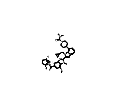 COc1cc(C(=O)N2C[C@H]3CC[C@@H]2[C@@H]3N)cc2nc(-c3cc4cccc(C5CCN(C(=O)N(C)C)CC5)c4n3CC3CC3)n(C)c12